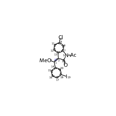 CO/C(=C1/C(=O)N(C(C)=O)c2cc(Cl)ccc21)c1cccc(I)c1